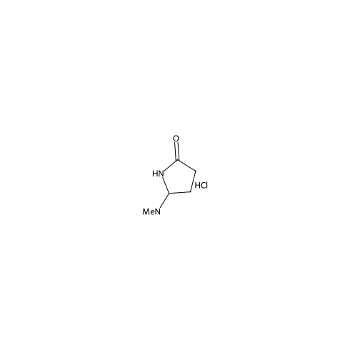 CNC1CCC(=O)N1.Cl